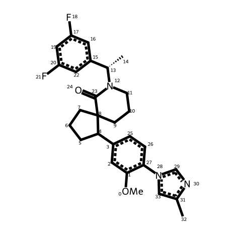 COc1cc(C2CCCC23CCCN([C@@H](C)c2cc(F)cc(F)c2)C3=O)ccc1-n1cnc(C)c1